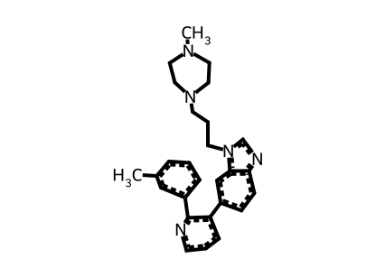 Cc1cccc(-c2ncccc2-c2ccc3ncn(CCCN4CCN(C)CC4)c3c2)c1